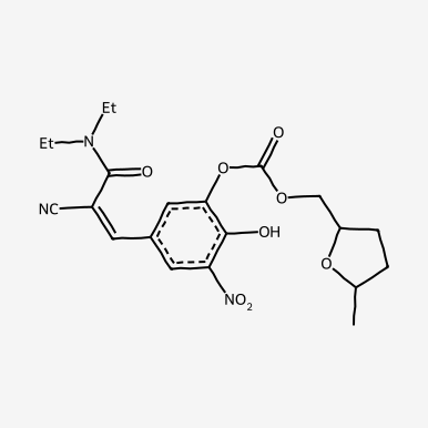 CCN(CC)C(=O)C(C#N)=Cc1cc(OC(=O)OCC2CCC(C)O2)c(O)c([N+](=O)[O-])c1